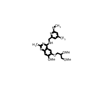 C=Nc1cc(C(F)(F)F)cc(CNc2nc(C)nc3cc(OC)c(OCC(COC)OC)cc23)n1